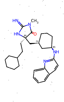 CN1C(=N)N[C@](CCC2CCCCC2)(C[C@H]2CCC[C@@H](Nc3ccc4ccccc4n3)C2)C1=O